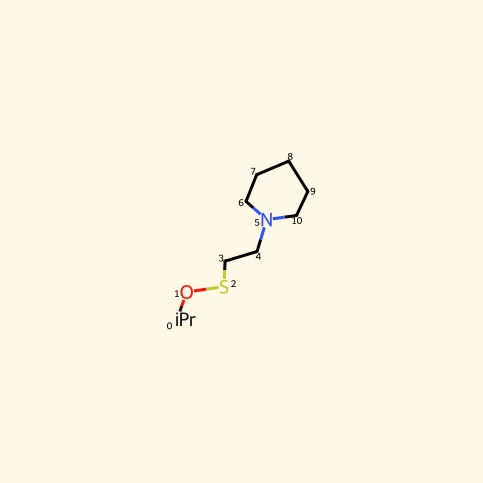 CC(C)OSCCN1CCCCC1